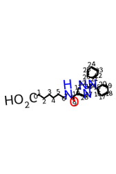 O=C(O)CCCCCCNC(=O)c1cnc(N(c2ccccc2)c2ccccc2)nc1